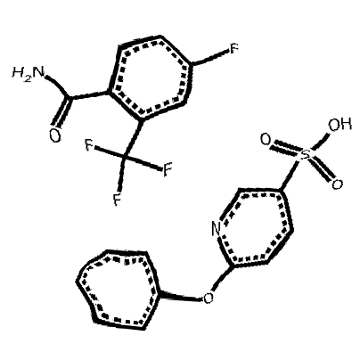 NC(=O)c1ccc(F)cc1C(F)(F)F.O=S(=O)(O)c1ccc(Oc2ccccc2)nc1